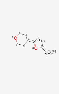 CCOC(=O)c1ccc(C2CCOCC2)o1